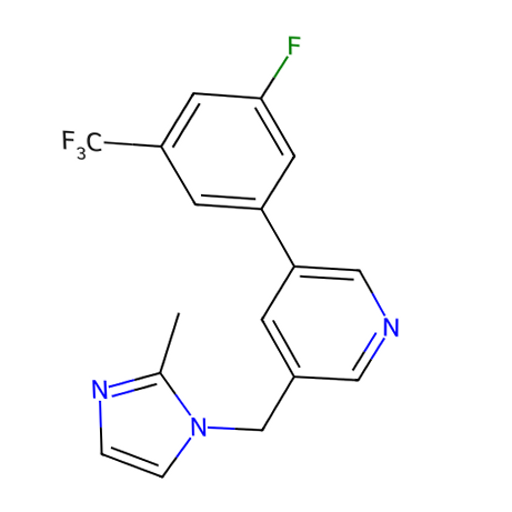 Cc1nccn1Cc1cncc(-c2cc(F)cc(C(F)(F)F)c2)c1